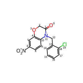 O=C1COc2cc([N+](=O)[O-])ccc2N1Cc1ccccc1Cl